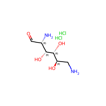 Cl.Cl.NC[C@@H](O)[C@@H](O)[C@H](O)[C@@H](N)C=O